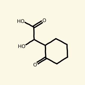 O=C(O)C(O)C1CCCCC1=O